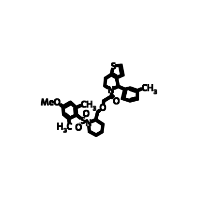 COc1cc(C)c(S(=O)(=O)N2CCCCC2COCC(=O)N2CCc3sccc3C2c2cccc(C)c2)c(C)c1